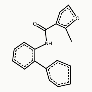 Cc1occc1C(=O)Nc1ccccc1-c1ccccc1